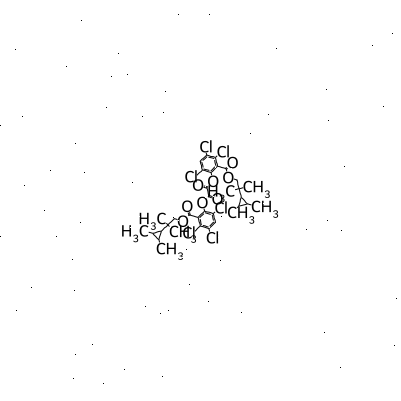 CC1C(C)C1C(C)(C)COC(=O)c1c(Cl)c(Cl)cc(Cl)c1OC(=O)C(=O)Oc1c(Cl)cc(Cl)c(Cl)c1C(=O)OCC(C)(C)C1C(C)C1C